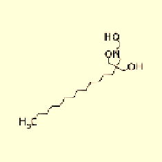 CCCCCCCCCCCCCC(CO)(CO)CCCO